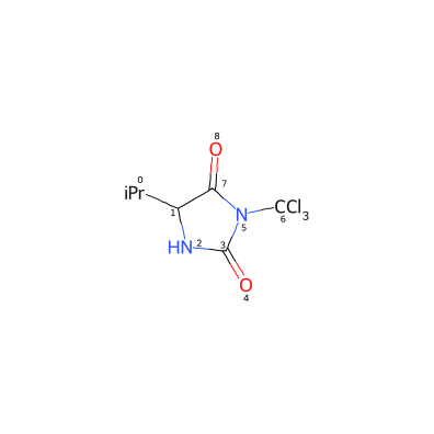 CC(C)C1NC(=O)N(C(Cl)(Cl)Cl)C1=O